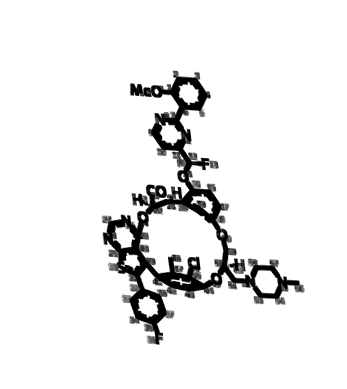 COc1ccccc1-c1nccc([C@@H](F)Oc2ccc3cc2C[C@H](C(=O)O)Oc2ncnc4sc(-c5ccc(F)cc5)c(c24)-c2ccc(c(Cl)c2C)O[C@H](CN2CCN(C)CC2)CO3)n1